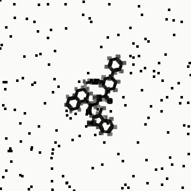 CNC[C@H]1Cc2ccccc2N(C(=O)[C@@H](Cc2c[nH]c3ccccc23)NC(=O)N2CCN(c3ccccc3)CC2)C1